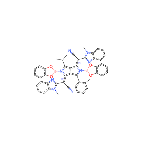 Cc1ccccc1-c1c2/c(=C(\C#N)c3nc4ccccc4n3C)n(B3Oc4ccccc4O3)c(C(C)C)c2/c(=C(\C#N)c2nc3ccccc3n2C)n1B1Oc2ccccc2O1